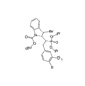 CC(C)OP(=O)(OC(C)C)C(Cc1ccc(F)c(C(F)(F)F)c1)C1C(Br)c2ccccc2N1C(=O)OC(C)(C)C